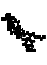 CC[Si](CC)(CC)O[C@@H]1CCC[C@@]2(C)C(C(C)CCC[C@@H](CC(=O)O)c3ccc(OC)cc3)CC[C@H]12